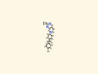 CCc1ncc2c(n1)CN(c1ccc(C(C)(C)c3ccc(C)cc3)cc1)CC2